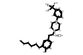 CCCCCCc1cc(CCN2CCN(c3cccc(C(F)(F)F)c3)CC2)ccc1C.Cl